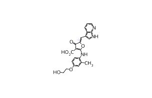 Cc1cc(OCCO)ccc1NC1=C(C(=O)O)C(=O)/C(=C/c2c[nH]c3ncccc23)O1